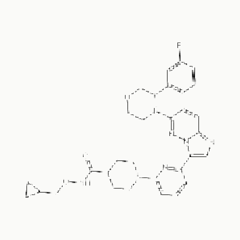 O=C(NOCC1CC1)C1CCN(c2cccc(-c3cnc4ccc(N5CCOCC5c5cccc(F)c5)nn34)n2)CC1